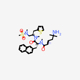 CN(C(=O)[C@@H](Cc1ccc2ccccc2c1)N(C)C(=O)/C=C/CC(C)(C)N)[C@H](Cc1cccs1)CN(C)S(C)(=O)=O